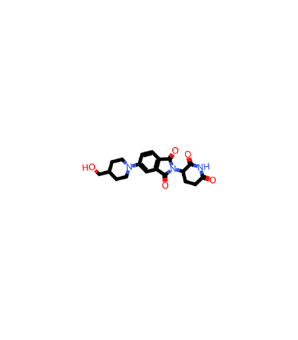 O=C1CCC(N2C(=O)c3ccc(N4CCC(CO)CC4)cc3C2=O)C(=O)N1